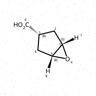 O=C(O)[C@@H]1C[C@@H]2O[C@@H]2C1